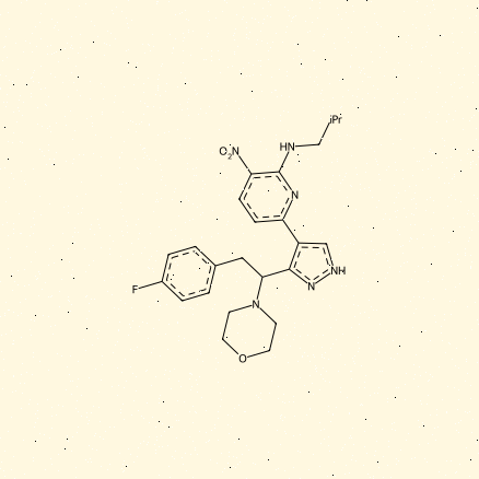 CC(C)CNc1nc(-c2c[nH]nc2C(Cc2ccc(F)cc2)N2CCOCC2)ccc1[N+](=O)[O-]